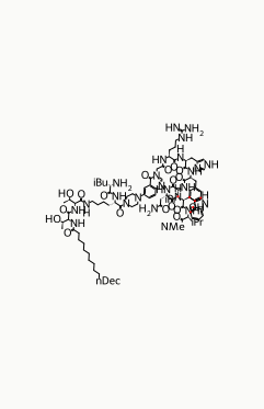 CCCCCCCCCCCCCCCCCCCC(=O)N[C@H](C(=O)N[C@H](C(=O)NCCCC[C@H](NC(=O)[C@@H](N)[C@@H](C)CC)C(=O)N1CCN(c2ccc3ncn(CC(=O)N[C@@H](CCCNC(=N)N)C(=O)N[C@@H](Cc4c[nH]cn4)C(=O)N[C@@H](Cc4ccc(O)cc4)C(=O)N[C@@H](CC(C)C)C(=O)N[C@@H](CC(N)=O)C(=O)N[C@@H](Cc4c[nH]c5ccccc45)C(=O)N[C@H](C(=O)NC)C(C)C)c(=O)c3c2)CC1)[C@@H](C)O)[C@@H](C)O